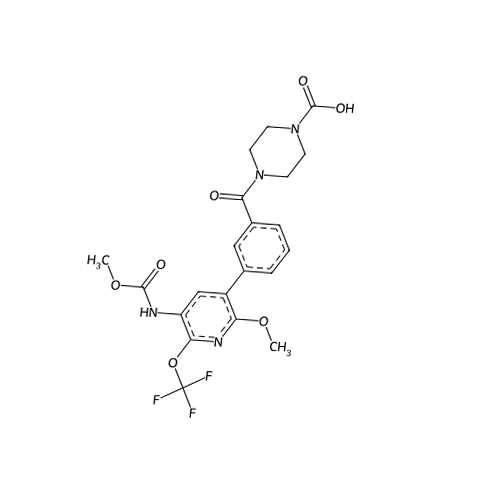 COC(=O)Nc1cc(-c2cccc(C(=O)N3CCN(C(=O)O)CC3)c2)c(OC)nc1OC(F)(F)F